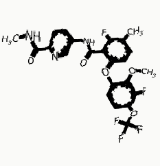 CNC(=O)c1ccc(NC(=O)c2c(Oc3ccc(OC(F)(F)F)c(F)c3OC)ccc(C)c2F)cn1